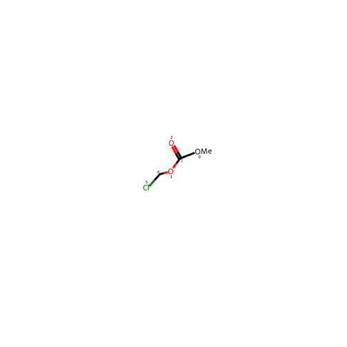 COC(=O)OCCl